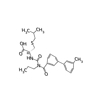 CCCN(C(=O)N[C@@H](CSCC(C)C)C(=O)O)C(=O)c1cccc(-c2cccc(C)c2)c1